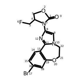 O=C1OCC(CF)N1c1cn2c(n1)-c1ccc(Br)cc1OCC2